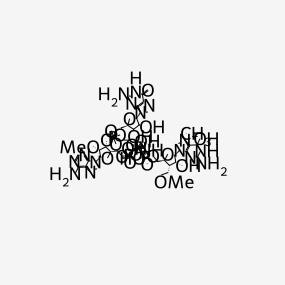 COCC[C@H]1[C@@H](O)[C@H](n2c[n+](C)c3c2N=C(N)NC3O)O[C@@H]1COP(=O)(O)NP(=O)(O)OP(=O)(O)OC[C@H]1O[C@@H](n2cnc3c(N)ncnc32)[C@H](OC)[C@@H]1OP(=O)([O-])OC[C@H]1O[C@@H](n2cnc3c(=O)[nH]c(N)nc32)[C@H](O)[C@@H]1O